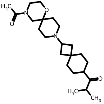 CC(=O)N1CCOC2(CCN(C3CC4(CCC(C(=O)C(C)C)CC4)C3)CC2)C1